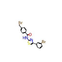 O=C(Nc1nc(-c2cccc(Br)c2)cs1)c1ccc(CBr)cc1